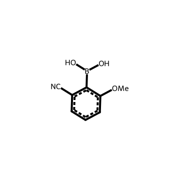 COc1cccc(C#N)c1B(O)O